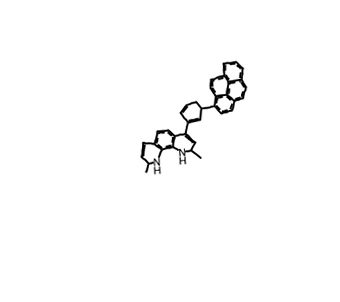 CC1C=Cc2ccc3c(c2N1)NC(C)C=C3C1=CC(c2ccc3ccc4cccc5ccc2c3c45)CC=C1